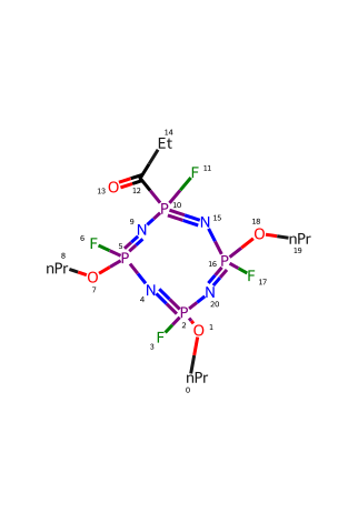 CCCOP1(F)=NP(F)(OCCC)=NP(F)(C(=O)CC)=NP(F)(OCCC)=N1